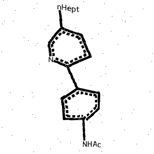 CCCCCCCc1ccc(-c2ccc(NC(C)=O)cc2)nc1